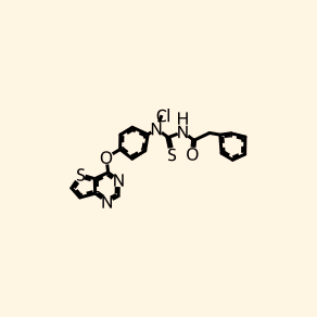 O=C(Cc1ccccc1)NC(=S)N(Cl)c1ccc(Oc2ncnc3ccsc23)cc1